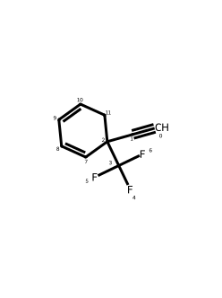 C#CC1(C(F)(F)F)C=CC=CC1